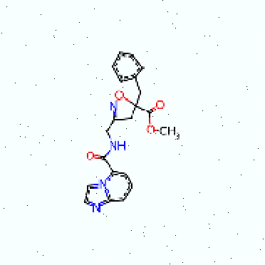 COC(=O)C1(Cc2ccccc2)CC(CNC(=O)c2cccc3nccn23)=NO1